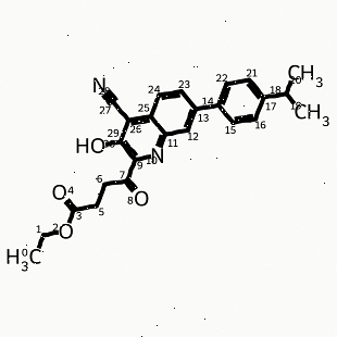 CCOC(=O)CCC(=O)c1nc2cc(-c3ccc(C(C)C)cc3)ccc2c(C#N)c1O